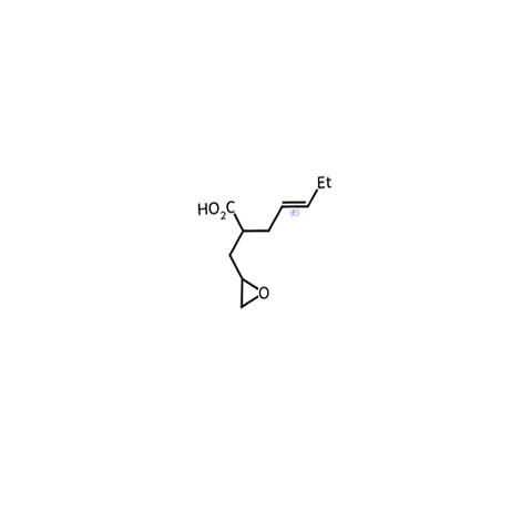 CC/C=C/CC(CC1CO1)C(=O)O